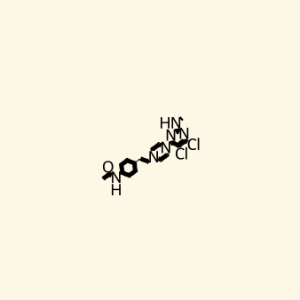 CNc1nc(Cl)c(Cl)c(N2CCN(CC[C@H]3CC[C@H](NC(C)=O)CC3)CC2)n1